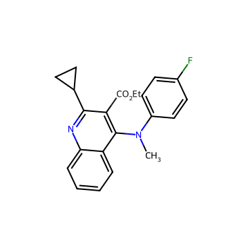 CCOC(=O)c1c(C2CC2)nc2ccccc2c1N(C)c1ccc(F)cc1